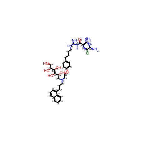 N=C(NCCCCc1ccc(OCCN(CCCc2cccc3ccccc23)C[C@H](O)/C(O)=C(\O)[C@H](O)CO)cc1)NC(=O)c1nc(Cl)c(N)nc1N